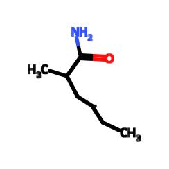 CC[CH]CC(C)C(N)=O